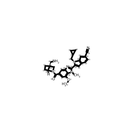 COc1cc(C(=O)N2C[C@@]3(CN)CC[C@@H]23)cc2nc(-c3cc4ccc(C#N)cc4n3CC3CC3)n(C)c12